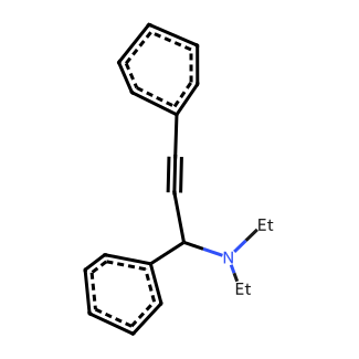 CCN(CC)C(C#Cc1ccccc1)c1ccccc1